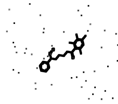 Cc1cc(C)c(C(=O)CCCCC(P=O)c2ccccc2)c(C)c1C